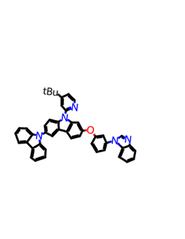 CC(C)(C)c1ccnc(-n2c3ccc(-n4c5ccccc5c5ccccc54)cc3c3ccc(Oc4cccc(-n5cnc6ccccc65)c4)cc32)c1